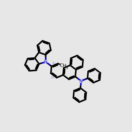 C/C=C(\C=C/c1cc(N(c2ccccc2)c2ccccc2)c2ccccc2c1)n1c2ccccc2c2ccccc21